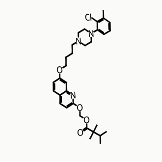 Cc1cccc(N2CCN(CCCCOc3ccc4ccc(OCOC(=O)C(C)(C)C(C)C)nc4c3)CC2)c1Cl